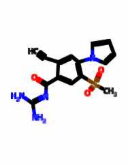 C#Cc1cc(-n2cccc2)c(S(C)(=O)=O)cc1C(=O)N=C(N)N